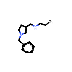 CCCNCC1CCN(Cc2ccccc2)C1